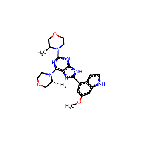 COc1cc(-c2nc3c(N4CCOC[C@H]4C)nc(N4CCOC[C@@H]4C)nc3[nH]2)c2cc[nH]c2c1